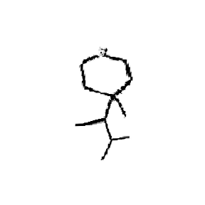 CC(C)C(C)C1(C)CCNCC1